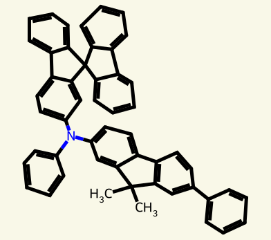 CC1(C)c2cc(-c3ccccc3)ccc2-c2ccc(N(c3ccccc3)c3ccc4c(c3)C3(c5ccccc5-c5ccccc53)c3ccccc3-4)cc21